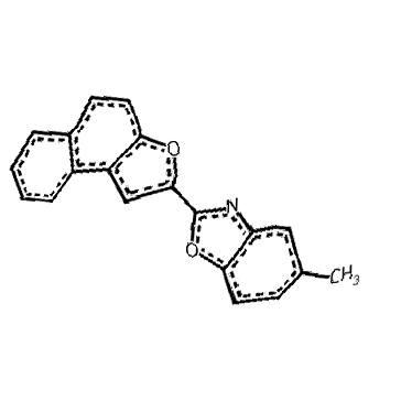 Cc1ccc2oc(-c3cc4c(ccc5ccccc54)o3)nc2c1